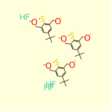 COCc1cc(C(C)(C)C)cc(COC)c1[S].COCc1cc(C(C)(C)C)cc(COC)c1[S].COCc1cc(C(C)(C)C)cc(COC)c1[S].F.F.F